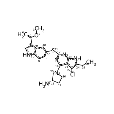 C=C(OC)c1c[nH]c2ccc(Sc3nc(N4CC[C@H](N)C4)c4c(Cl)c(CC)[nH]c4n3)cc12